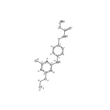 CC(C)(C)OC(=O)NCc1ccc(Nc2nc(Cl)nc(OCC(F)(F)F)n2)cc1